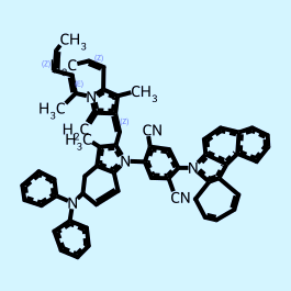 C=c1/c(=C\c2c(C)c3c(n2-c2cc(C#N)c(-n4c5c(c6c7ccccc7ccc64)C=CC=CC5)cc2C#N)C=CC(N(c2ccccc2)c2ccccc2)C3)c(C)c(/C=C\C)n1/C(C)=C/C=C\C